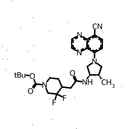 C[C@@H]1CN(c2ccc(C#N)c3nccnc23)C[C@@H]1NC(=O)CC1CCN(C(=O)OC(C)(C)C)CC1(F)F